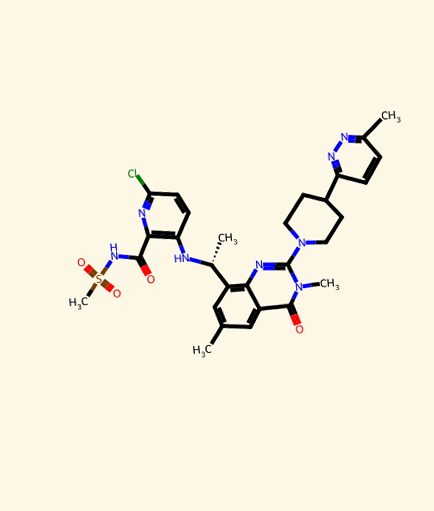 Cc1cc([C@@H](C)Nc2ccc(Cl)nc2C(=O)NS(C)(=O)=O)c2nc(N3CCC(c4ccc(C)nn4)CC3)n(C)c(=O)c2c1